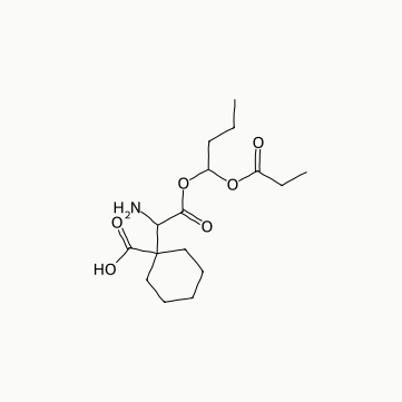 CCCC(OC(=O)CC)OC(=O)C(N)C1(C(=O)O)CCCCC1